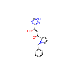 O=C(C=C(O)c1nc[nH]n1)c1cccn1Cc1ccccc1